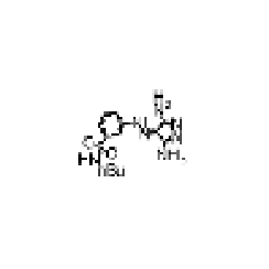 CCCCNS(=O)(=O)c1cccc(NN=C2C(N)=NN=C2N)c1